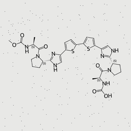 COC(=O)N[C@@H](C)C(=O)N1CCC[C@H]1c1nc(-c2ccc(-c3ccc(-c4c[nH]c([C@@H]5CCCN5C(=O)[C@H](C)NC(=O)O)n4)s3)s2)c[nH]1